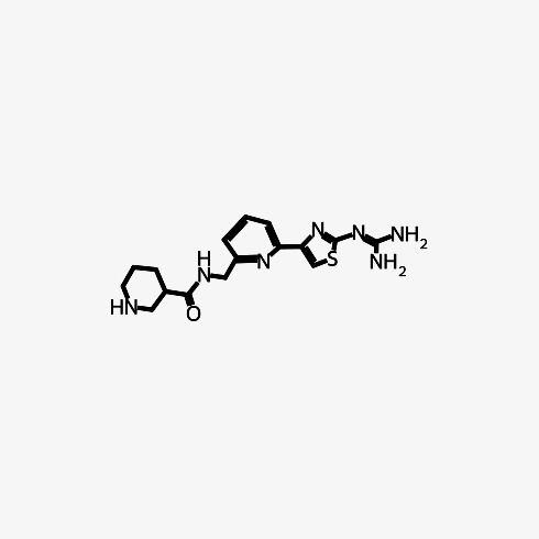 NC(N)=Nc1nc(-c2cccc(CNC(=O)C3CCCNC3)n2)cs1